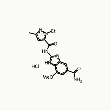 CCn1nc(C)cc1C(=O)Nc1nc2cc(C(N)=O)cc(OC)c2[nH]1.Cl